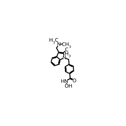 Cc1c(CN(C)C)c2ccccc2n1Cc1ccc(C(=O)NO)cc1